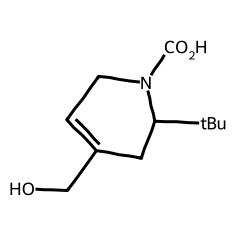 CC(C)(C)C1CC(CO)=CCN1C(=O)O